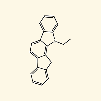 CCn1c2ccccc2c2ccc3c(c21)Cc1ccccc1-3